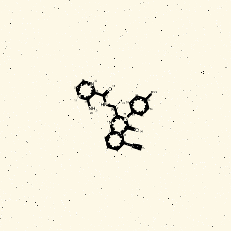 C#Cc1cccc2nc([C@@H](C)NC(=O)c3nccnc3N)n(-c3ccc(F)cc3)c(=O)c12